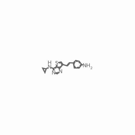 Nc1ccc(C=Cc2csc3c(NC4CC4)ncnc23)cc1